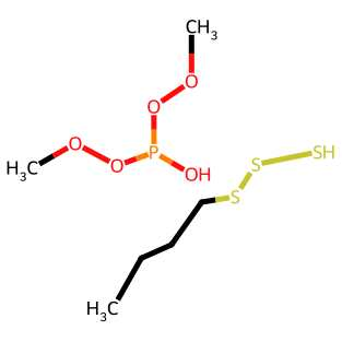 CCCCSSS.COOP(O)OOC